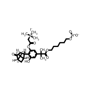 CC(C)(C(=O)OCCCCCCO[N+](=O)[O-])c1cc(O)c([C@H]2CC(=O)[C@H]3C[C@@H]2C3(C)C)c(OC(=O)C[N+](C)(C)C)c1.[I-]